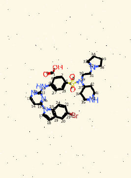 O=CO.O=S(=O)(c1ccc(Nc2nccc(-n3ccc4cc(Br)ccc43)n2)cc1)N(CCN1CCCC1)C1CCNCC1